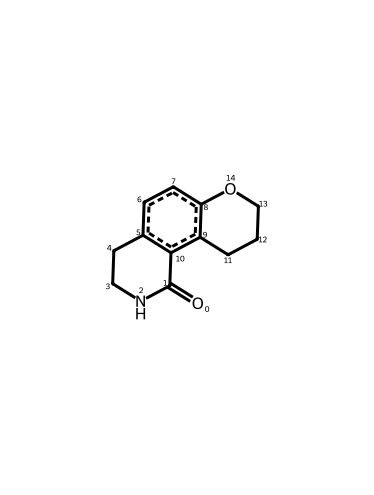 O=C1NCCc2ccc3c(c21)CCCO3